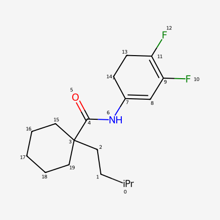 CC(C)CCC1(C(=O)NC2=CC(F)=C(F)C[CH]2)CCCCC1